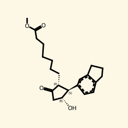 COC(=O)CCCCCC[C@H]1C(=O)C[C@@H](O)[C@@H]1c1ccc2c(c1)CCC2